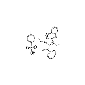 C=C(c1ccccc1)C1N(CC)c2nc3ccccc3nc2N1CC.Cc1ccc(S(=O)(=O)O)cc1